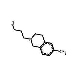 FC(F)(F)c1ccc2c(c1)CCN(CCCCl)C2